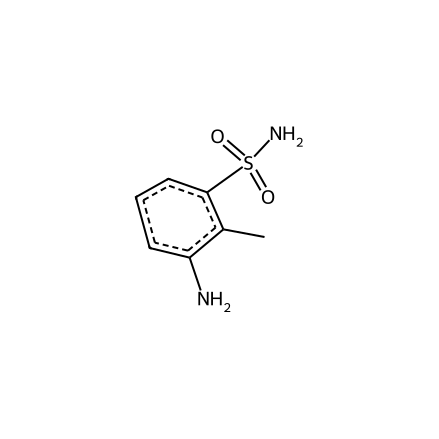 Cc1c(N)cccc1S(N)(=O)=O